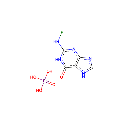 O=P(O)(O)O.O=c1[nH]c(NF)nc2nc[nH]c12